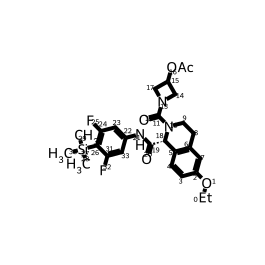 CCOc1ccc2c(c1)CCN(C(=O)N1CC(OC(C)=O)C1)[C@H]2C(=O)Nc1cc(F)c([Si](C)(C)C)c(F)c1